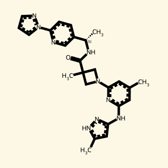 Cc1cc(Nc2cc(C)[nH]n2)nc(N2CC(C)(C(=O)N[C@@H](C)c3ccc(-n4cccn4)nc3)C2)c1